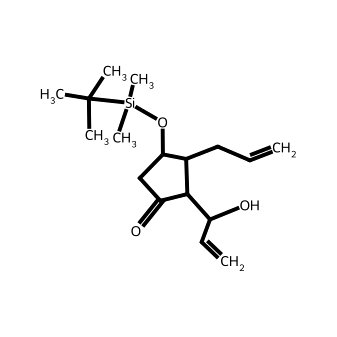 C=CCC1C(O[Si](C)(C)C(C)(C)C)CC(=O)C1C(O)C=C